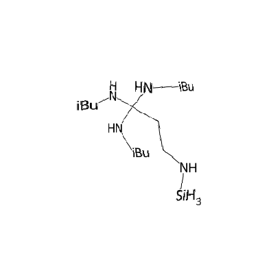 CCC(C)NC(CCN[SiH3])(NC(C)CC)NC(C)CC